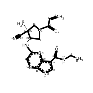 C=CC(=O)N1C[C@H](Nc2cnc3[nH]cc(C(=O)NCC)c3n2)[C@@](C)(C#N)C1